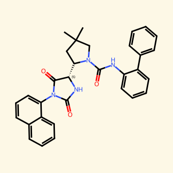 CC1(C)CC([C@@H]2NC(=O)N(c3cccc4ccccc34)C2=O)N(C(=O)Nc2ccccc2-c2ccccc2)C1